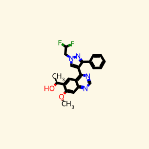 COc1cc2ncnc(-c3cn(CC(F)F)nc3-c3ccccc3)c2cc1[C@H](C)O